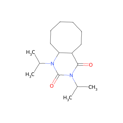 CC(C)N1C(=O)C2CCCCCCC2N(C(C)C)C1=O